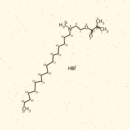 Br.C=C(C)C(=O)OCCN(C)CCCCCCCCCCCCCCCCC